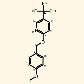 COc1ccc(COc2ccc(C(F)(F)F)cn2)cc1